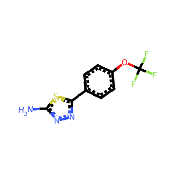 Nc1nnc(-c2ccc(OC(F)(F)F)cc2)s1